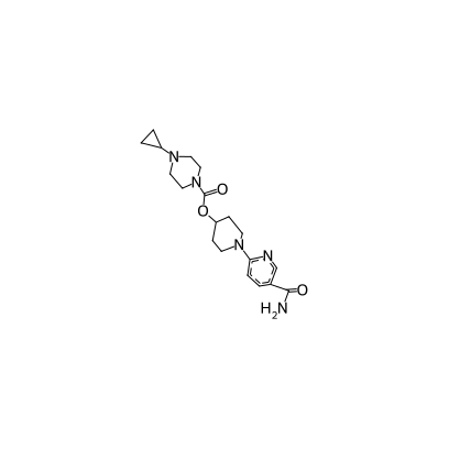 NC(=O)c1ccc(N2CCC(OC(=O)N3CCN(C4CC4)CC3)CC2)nc1